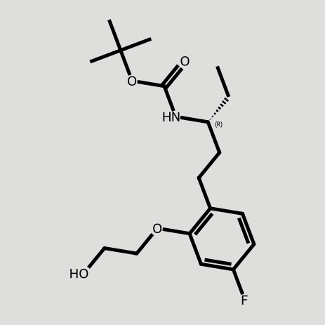 CC[C@H](CCc1ccc(F)cc1OCCO)NC(=O)OC(C)(C)C